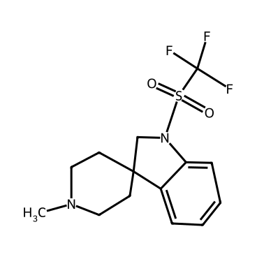 CN1CCC2(CC1)CN(S(=O)(=O)C(F)(F)F)c1ccccc12